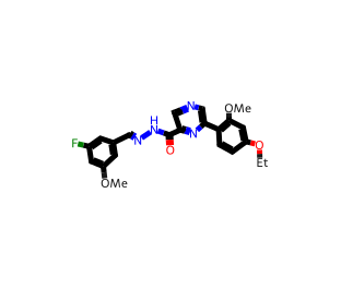 CCOc1ccc(-c2cncc(C(=O)NN=Cc3cc(F)cc(OC)c3)n2)c(OC)c1